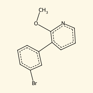 COc1ncccc1-c1cccc(Br)c1